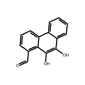 O=Cc1cccc2c1c(O)c(O)c1ccccc12